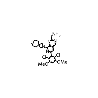 COc1cc(OC)c(Cl)c(-c2cc3cnc(CN)nc3c(N3CC4(CCOCC4)C3)n2)c1Cl